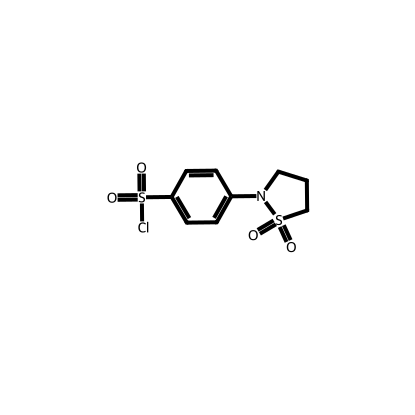 O=S(=O)(Cl)c1ccc(N2CCCS2(=O)=O)cc1